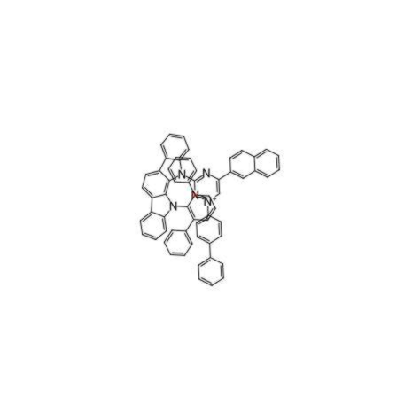 c1ccc(-c2ccc(-[n+]3cc(-c4ccc5ccccc5c4)nc(-n4c5ccccc5c5ccc6c7ccccc7n(-c7c(-c8ccccc8)cccc7-c7ccccc7)c6c54)n3)cc2)cc1